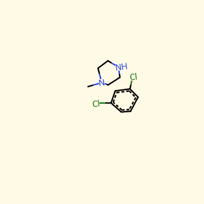 CN1CCNCC1.Clc1cccc(Cl)c1